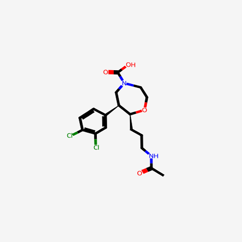 CC(=O)NCCC[C@@H]1OCCN(C(=O)O)C[C@@H]1c1ccc(Cl)c(Cl)c1